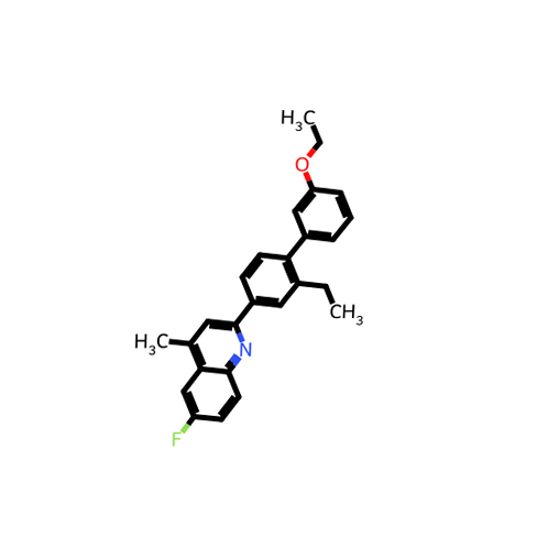 CCOc1cccc(-c2ccc(-c3cc(C)c4cc(F)ccc4n3)cc2CC)c1